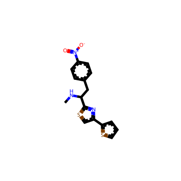 CNC(Cc1ccc([N+](=O)[O-])cc1)c1nc(-c2cccs2)cs1